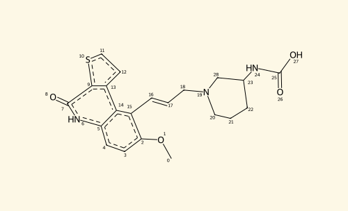 COc1ccc2[nH]c(=O)c3sccc3c2c1C=CCN1CCCC(NC(=O)O)C1